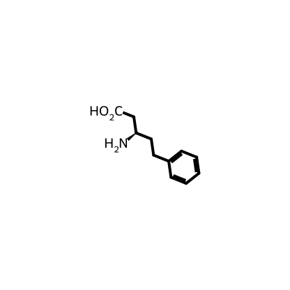 N[C@H](CCc1ccccc1)CC(=O)O